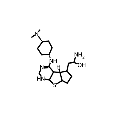 CN(C)[C@H]1CC[C@H](NC2=NCNC3SC4CCC(CC(N)O)[C@H]4C23)CC1